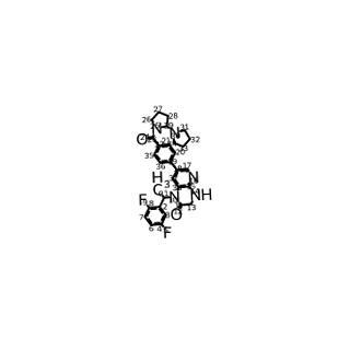 CC(c1cc(F)ccc1F)N1C(=O)CNc2ncc(-c3ccc(C(=O)N4CCCC4N4CCCC4)cc3)cc21